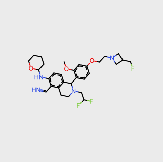 COc1cc(OCCN2CC(CF)C2)ccc1C1c2ccc(NC3CCCCO3)c(C=N)c2CCN1CC(F)F